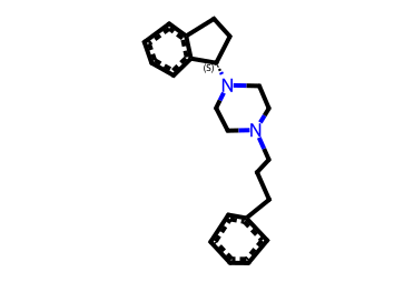 c1ccc(CCCN2CCN([C@H]3CCc4ccccc43)CC2)cc1